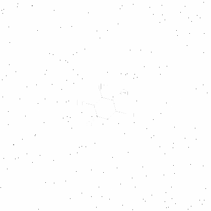 CC(C)C1CC(=O)C(C(C)C)C(C(C)C)C1C(C)C